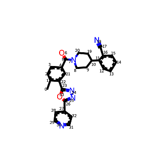 Cc1ccc(C(=O)N2CCC(c3ccccc3C#N)CC2)cc1-c1nnc(-c2ccncc2)o1